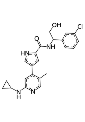 Cc1cnc(NC2CC2)cc1-c1c[nH]c(C(=O)NC(CO)c2cccc(Cl)c2)c1